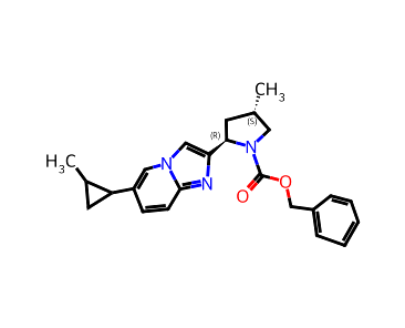 CC1CC1c1ccc2nc([C@H]3C[C@H](C)CN3C(=O)OCc3ccccc3)cn2c1